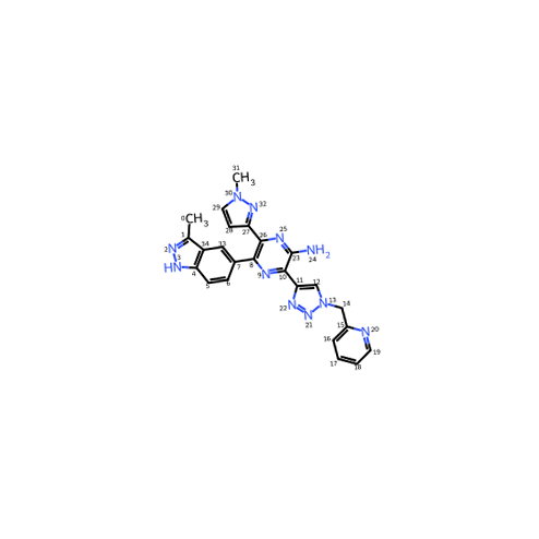 Cc1n[nH]c2ccc(-c3nc(-c4cn(Cc5ccccn5)nn4)c(N)nc3-c3ccn(C)n3)cc12